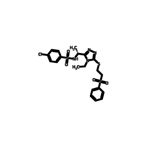 CCn1c(SCCS(=O)(=O)c2ccccc2)nnc1[C@@H](C)NS(=O)(=O)c1ccc(Cl)cc1